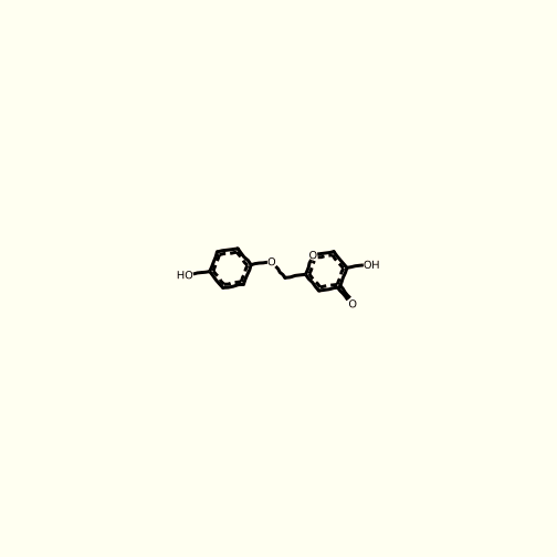 O=c1cc(COc2ccc(O)cc2)occ1O